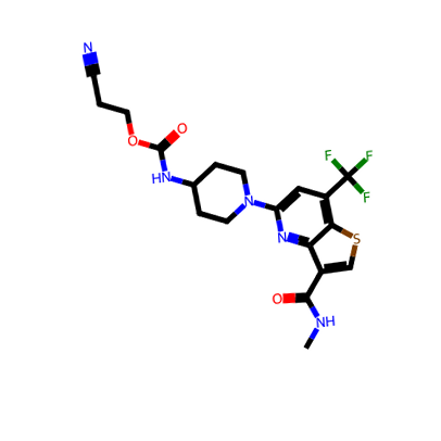 CNC(=O)c1csc2c(C(F)(F)F)cc(N3CCC(NC(=O)OCCC#N)CC3)nc12